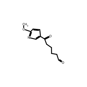 COc1ccc(C(=O)CCCCC=O)cn1